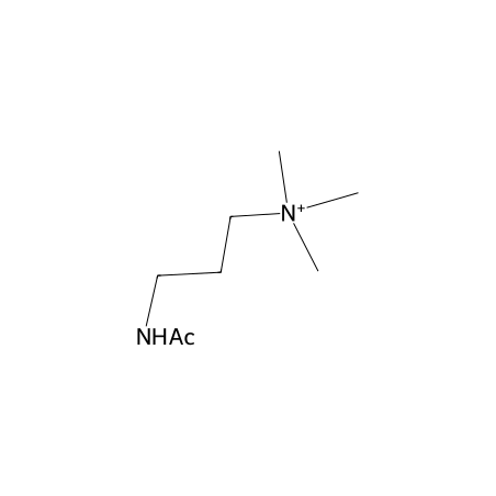 CC(=O)NCCC[N+](C)(C)C